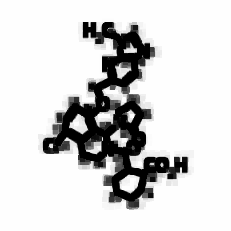 Cn1cnc2ccc(COc3ccc(Cl)c4c3C(N3CCCC3=O)N(C(=O)C3CCCCC3C(=O)O)CC4)nc21